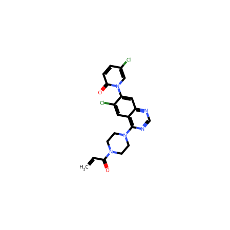 C=CC(=O)N1CCN(c2ncnc3cc(-n4cc(Cl)ccc4=O)c(Cl)cc23)CC1